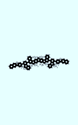 CCCCCCCCC1(CCCCCCCC)c2cc3c(cc2-c2cc4c(cc21)-c1c(cc(-c2ccc(-c5ccc6c(c5)oc5cc7ccccc7cc56)c5c2-c2ccccc2C5(C)C)c2ccccc12)C4(C)C)C(C)(C)c1cc(-c2ccc(-c4ccc5c(c4)oc4cc6ccccc6cc45)c4c2-c2ccccc2C4(C)C)c2ccccc2c1-3